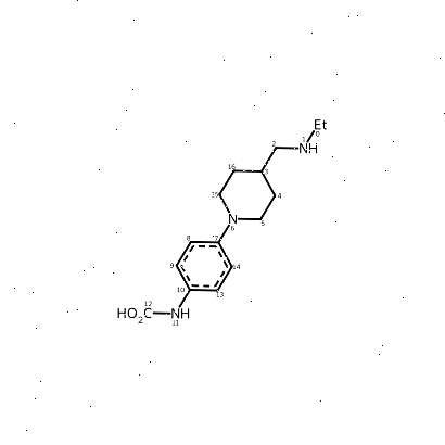 CCNCC1CCN(c2ccc(NC(=O)O)cc2)CC1